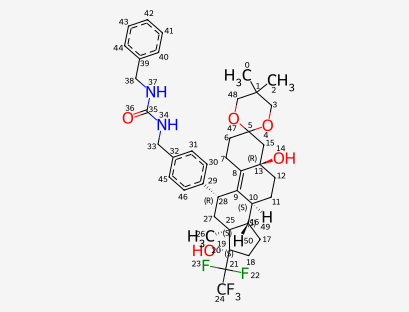 CC1(C)COC2(CCC3=C4[C@@H](CC[C@@]3(O)C2)[C@@H]2CC[C@@](O)(C(F)(F)C(F)(F)F)[C@@]2(C)C[C@@H]4c2ccc(CNC(=O)NCc3ccccc3)cc2)OC1